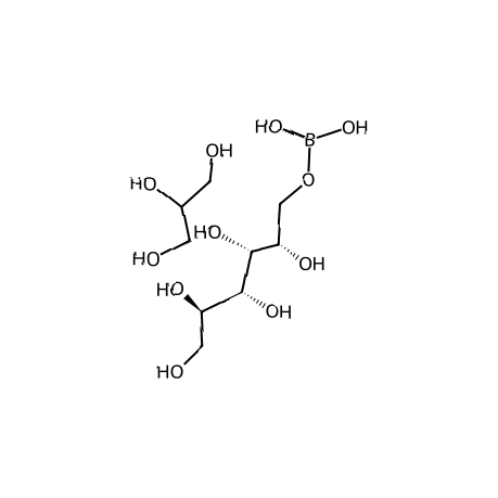 OCC(O)CO.OC[C@@H](O)[C@@H](O)[C@H](O)[C@@H](O)COB(O)O